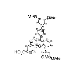 COCCN(COC)C1=CC(=C(c2ccc(N(CCOC)CCOC)cc2)c2coc3cc(C(=O)O)ccc3c2=O)C=CC1